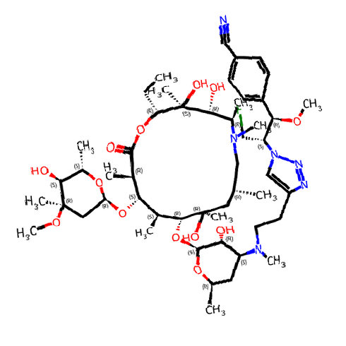 CC[C@H]1OC(=O)[C@H](C)[C@@H](O[C@H]2C[C@@](C)(OC)[C@@H](O)[C@H](C)O2)[C@H](C)[C@@H](O[C@@H]2O[C@H](C)C[C@H](N(C)CCc3cn([C@H](CF)[C@H](OC)c4ccc(C#N)cc4)nn3)[C@H]2O)[C@](C)(O)C[C@@H](C)CN(C)[C@H](C)[C@@H](O)[C@]1(C)O